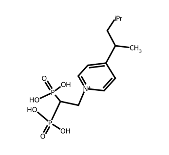 CC(C)CC(C)c1cc[n+](CC(P(=O)(O)O)P(=O)(O)O)cc1